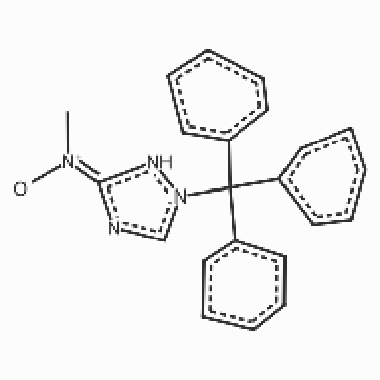 C[N+]([O-])=c1ncn(C(c2ccccc2)(c2ccccc2)c2ccccc2)[nH]1